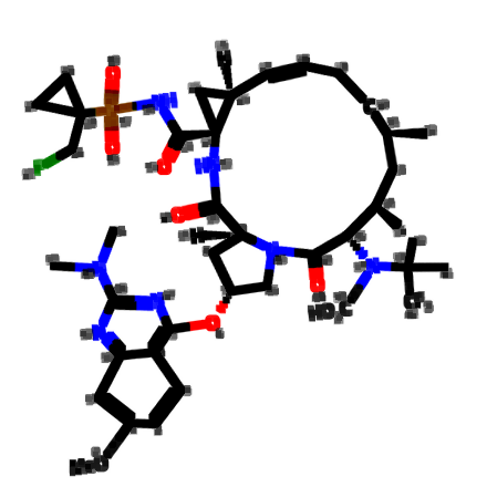 COc1ccc2c(O[C@@H]3C[C@H]4C(=O)N[C@]5(C(=O)NS(=O)(=O)C6(CF)CC6)C[C@H]5/C=C\CC[C@@H](C)C[C@@H](C)[C@H](N(C(=O)O)C(C)(C)C(F)(F)F)C(=O)N4C3)nc(N(C)C)nc2c1